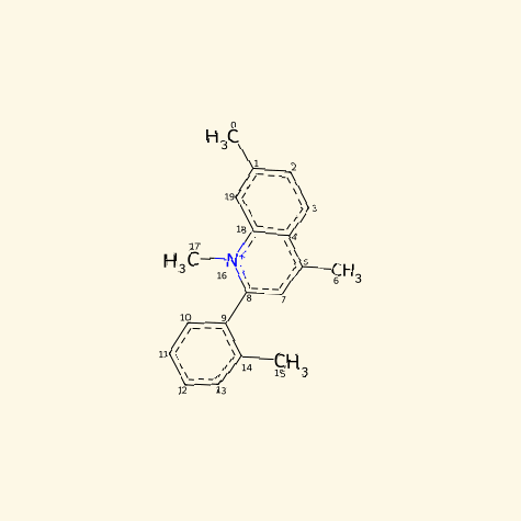 Cc1ccc2c(C)cc(-c3ccccc3C)[n+](C)c2c1